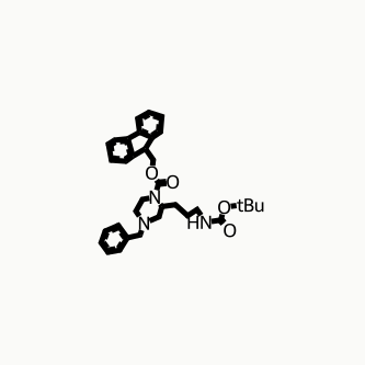 CC(C)(C)OC(=O)NCCCC1CN(Cc2ccccc2)CCN1C(=O)OCC1c2ccccc2-c2ccccc21